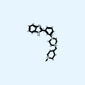 CN1CCC(CN2CCN(c3cccc(-c4nc5ccccc5[nH]4)c3)CC2)CC1